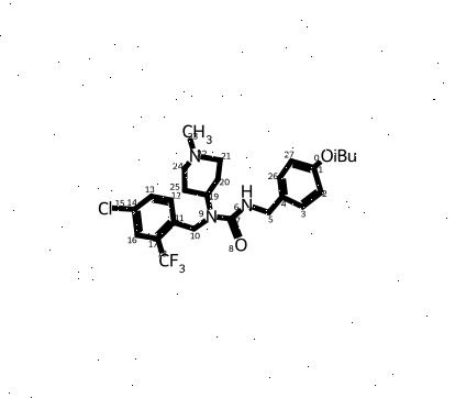 CC(C)COc1ccc(CNC(=O)N(Cc2ccc(Cl)cc2C(F)(F)F)C2CCN(C)CC2)cc1